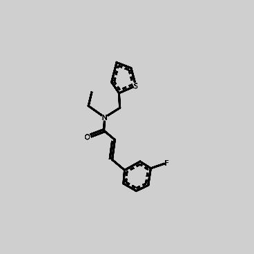 CCN(Cc1cccs1)C(=O)/C=C/c1cccc(F)c1